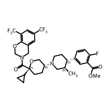 COC(=O)c1cc([C@H]2CCN([C@@H]3CC[C@@](C(=O)N4COc5c(cc(C(F)(F)F)cc5C(F)(F)F)C4)(C4CC4)OC3)C[C@@H]2C)ccc1F